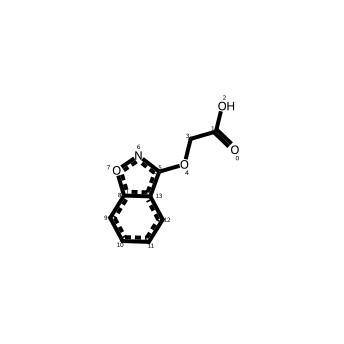 O=C(O)COc1noc2ccccc12